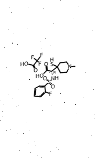 CN1CCC(S)([C@H](NS(=O)(=O)c2ccccc2F)C(=O)O)CC1.O=C(O)C(F)(F)F